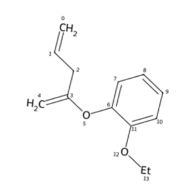 C=CCC(=C)Oc1ccccc1OCC